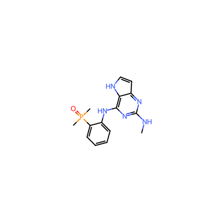 CNc1nc(Nc2ccccc2P(C)(C)=O)c2[nH]ccc2n1